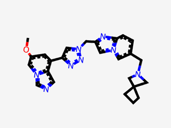 COc1cc(-c2cn(Cc3cn4cc(CN5CC6(CCC6)C5)ccc4n3)nn2)c2cncn2c1